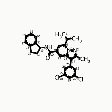 Cc1nn2c(C(C)C)cc(C(=O)N[C@H]3CCc4ccccc43)cc2c1-c1cc(Cl)cc(Cl)c1